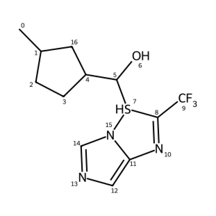 CC1CCC(C(O)[SH]2C(C(F)(F)F)=Nc3cncn32)C1